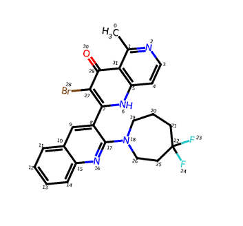 Cc1nccc2[nH]c(-c3cc4ccccc4nc3N3CCCC(F)(F)CC3)c(Br)c(=O)c12